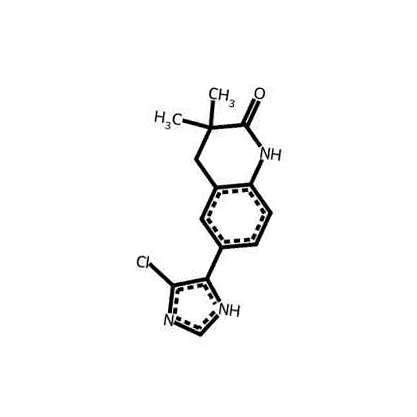 CC1(C)Cc2cc(-c3[nH]cnc3Cl)ccc2NC1=O